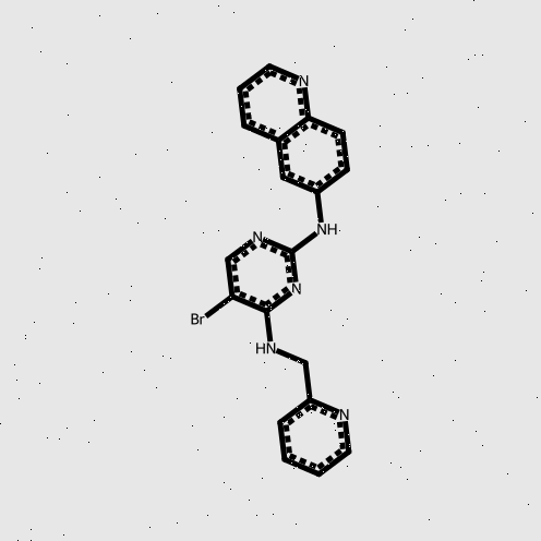 Brc1cnc(Nc2ccc3ncccc3c2)nc1NCc1ccccn1